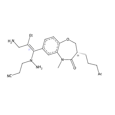 CC/C(CN)=C(\c1ccc2c(c1)N(C)C(=O)[C@@H](CCCC(C)=O)CO2)N(N)CCC#N